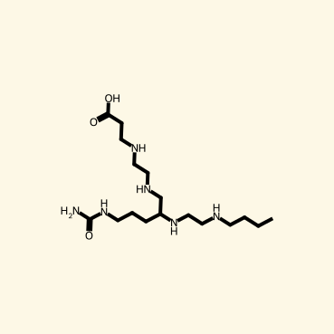 CCCCNCCNC(CCCNC(N)=O)CNCCNCCC(=O)O